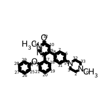 CN1CCN(c2ccc(-c3cc(=O)n(C)nc3-c3ccccc3Oc3ccccc3)cc2)CC1